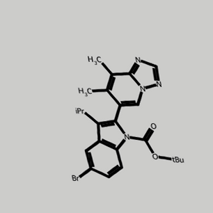 Cc1c(-c2c(C(C)C)c3cc(Br)ccc3n2C(=O)OC(C)(C)C)cn2ncnc2c1C